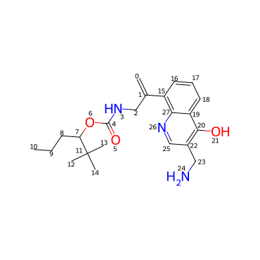 C=C(CNC(=O)OC(CCC)C(C)(C)C)c1cccc2c(O)c(CN)cnc12